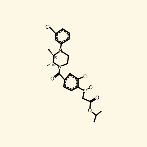 CC(C)OC(=O)C[S+]([O-])c1ccc(C(=O)N2CCN(c3cccc(Cl)c3)[C@H](C)[C@H]2C)cc1Cl